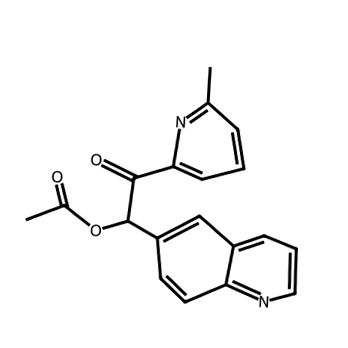 CC(=O)OC(C(=O)c1cccc(C)n1)c1ccc2ncccc2c1